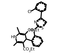 CCOC(=O)C1=C(C)NC(C)=C(C(=O)OCC)C1c1ccccc1Nc1nc(-c2ccccc2Cl)cs1